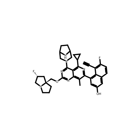 C#Cc1c(F)ccc2cc(O)cc(-c3nc(C4CC4)c4c(N5CC6CCC(C5)N6)nc(OC[C@@]56CCCN5C[C@H](F)C6)nc4c3C)c12